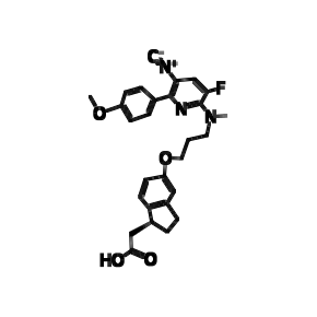 [C-]#[N+]c1cc(F)c(N(C)CCCOc2ccc3c(c2)CC[C@H]3CC(=O)O)nc1-c1ccc(OC)cc1